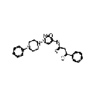 O=C(CC(=S)[N-]c1c[n+](N2CCN(c3ccccc3)CC2)no1)c1ccccc1